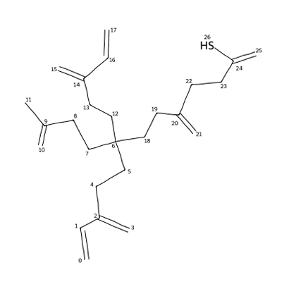 C=CC(=C)CCC(CCC(=C)C)(CCC(=C)C=C)CCC(=C)CCC(=C)S